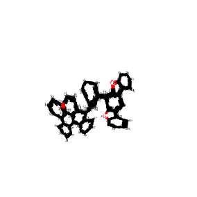 C1=CC2Oc3c(cc4c5c(oc4c3-c3cccc(-c4c6ccccc6c(-c6ccccc6-c6ccccc6)c6ccccc46)c3)CCC=C5)C2C=C1